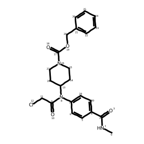 CNC(=O)c1ccc(N(C(=O)CCl)C2CCN(C(=O)OCc3ccccc3)CC2)cc1